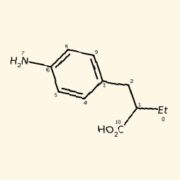 CCC(Cc1ccc(N)cc1)C(=O)O